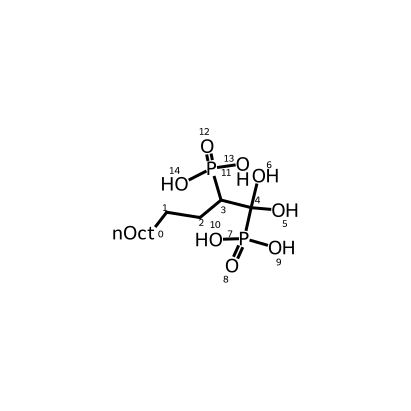 CCCCCCCCCCC(C(O)(O)P(=O)(O)O)P(=O)(O)O